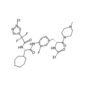 CCC(=O)N[C@H](Cc1ccc(NC(=O)[C@@H](NC(=O)C(F)(F)c2cnn(CC)c2)C2CCCCCC2)c(F)c1)C(=O)N1CCN(C)CC1